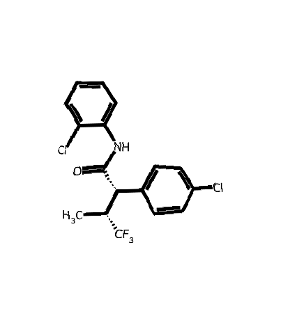 C[C@H]([C@H](C(=O)Nc1ccccc1Cl)c1ccc(Cl)cc1)C(F)(F)F